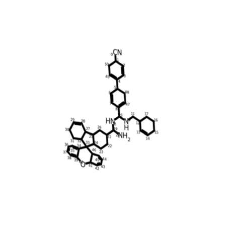 N#CC1C=CC(C2C=CC(C(NCC3C=CCCC3)NC(N)C3CCC4C(C3)C3C=CCCC3C43c4ccccc4OC4C=CC=CC43)=CC2)=CC1